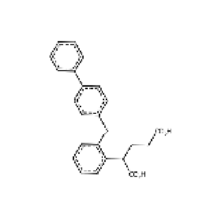 O=C(O)CCC(C(=O)O)c1ccccc1Sc1ccc(-c2ccccc2)cc1